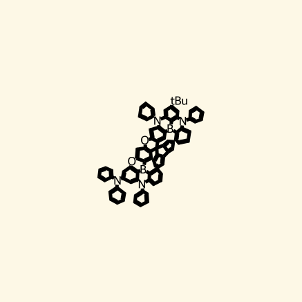 CC(C)(C)c1cc2c3c(c1)N(c1ccccc1)c1cc4c(cc1B3c1ccccc1N2c1ccccc1)C1(c2cc3c(cc2O4)Oc2cc(N(c4ccccc4)c4ccccc4)cc4c2B3c2ccccc2N4c2ccccc2)c2ccccc2-c2ccccc21